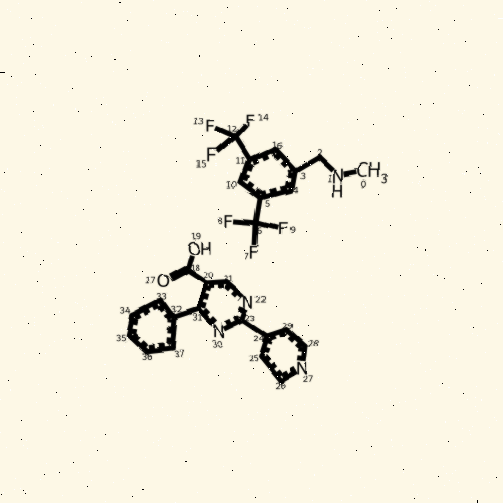 CNCc1cc(C(F)(F)F)cc(C(F)(F)F)c1.O=C(O)c1cnc(-c2ccncc2)nc1-c1ccccc1